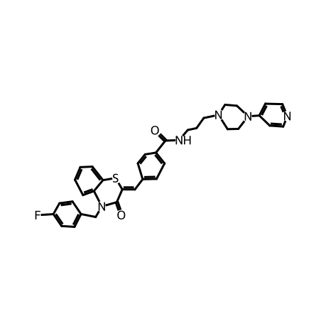 O=C(NCCCN1CCN(c2ccncc2)CC1)c1ccc(/C=C2\Sc3ccccc3N(Cc3ccc(F)cc3)C2=O)cc1